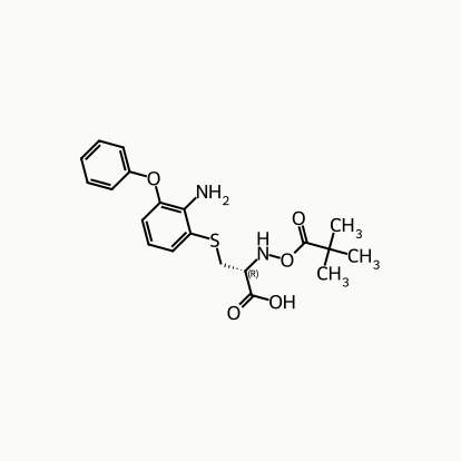 CC(C)(C)C(=O)ON[C@@H](CSc1cccc(Oc2ccccc2)c1N)C(=O)O